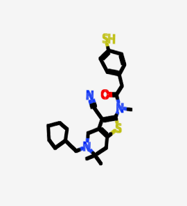 CN(C(=O)Cc1ccc(S)cc1)c1sc2c(c1C#N)CN(CC1CCCCC1)C(C)(C)C2